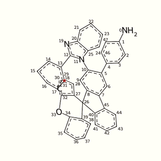 Nc1ccc(-c2cc3c(cc2-n2c(-c4ccccc4)nc4ccccc42)C2(c4ccccc4Oc4ccccc42)c2ccccc2-3)cc1